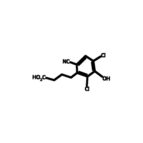 N#Cc1cc(Cl)c(O)c(Cl)c1CCCC(=O)O